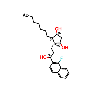 CC(=O)CCCCCC[C@@H]1[C@@H](CC[C@H](O)c2ccc3ccccc3c2F)[C@H](O)C[C@@H]1O